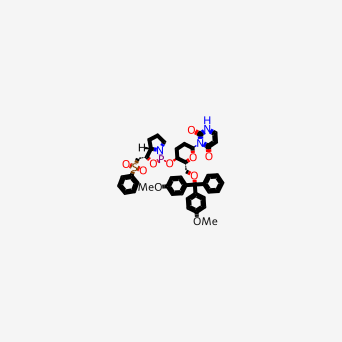 COc1ccc(C(OC[C@H]2O[C@@H](n3c(=O)cc[nH]c3=O)CC[C@@H]2O[P@]2O[C@H](CS(=O)(=O)c3ccccc3)[C@@H]3CCCN32)(c2ccccc2)c2ccc(OC)cc2)cc1